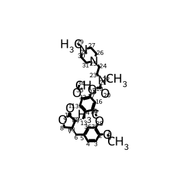 COc1ccc(C[C@H]2COC(=O)[C@@H]2Cc2ccc(OC(=O)N(C)CCN3CCN(C)CC3)c(OC)c2)cc1OC